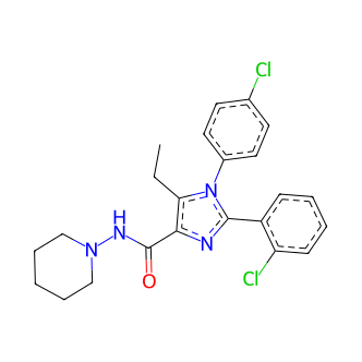 CCc1c(C(=O)NN2CCCCC2)nc(-c2ccccc2Cl)n1-c1ccc(Cl)cc1